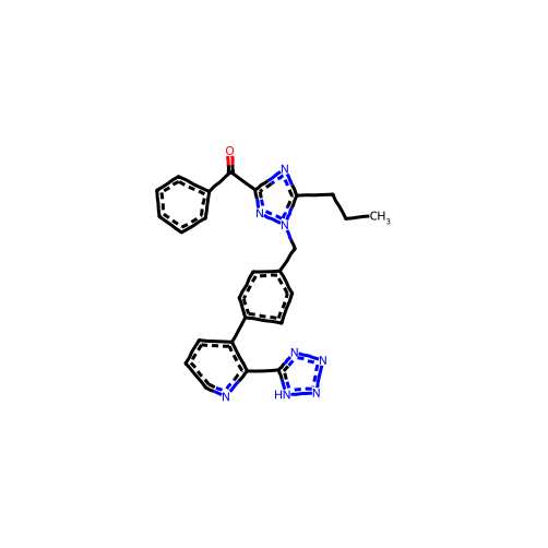 CCCc1nc(C(=O)c2ccccc2)nn1Cc1ccc(-c2cccnc2-c2nnn[nH]2)cc1